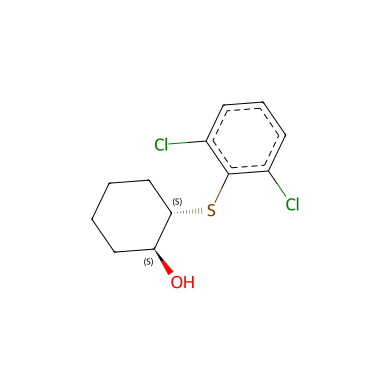 O[C@H]1CCCC[C@@H]1Sc1c(Cl)cccc1Cl